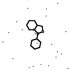 C1CCC(B2OCC3CCCCN23)CC1